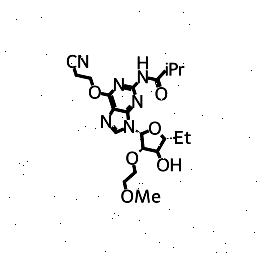 CC[C@H]1O[C@@H](n2cnc3c(OCCC#N)nc(NC(=O)C(C)C)nc32)[C@@H](OCCOC)C1O